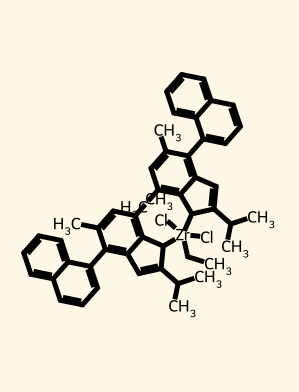 C[CH2][Zr]([Cl])([Cl])([CH]1C(C(C)C)=Cc2c(-c3cccc4ccccc34)c(C)cc(C)c21)[CH]1C(C(C)C)=Cc2c(-c3cccc4ccccc34)c(C)cc(C)c21